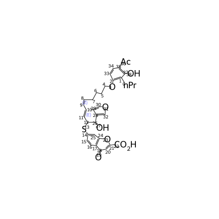 CCCc1c(OCCCC/C=C\C=C\C(Sc2ccc3c(=O)cc(C(=O)O)oc3c2)C(O)c2ccoc2)ccc(C(C)=O)c1O